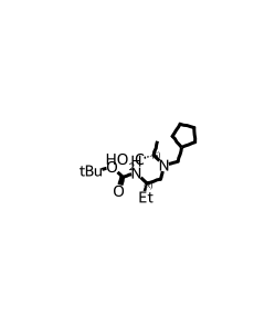 CC[C@H](CN(CC1CCCC1)[C@@H](C)C(=O)O)NC(=O)OC(C)(C)C